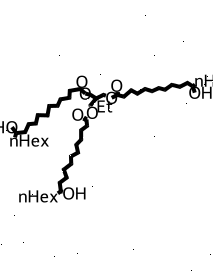 CCCCCCC(O)CCCCCCCCCCC(=O)OCC(CC)(COC(=O)CCCCCCCCCCC(O)CCCCCC)COC(=O)CCCCCCCCCCC(O)CCCCCC